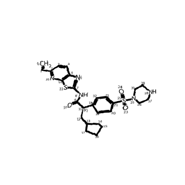 C=Cc1ccc2nc(NC(=O)[C@H](CC3CCCC3)c3ccc(S(=O)(=O)N4CCNCC4)cc3)sc2n1